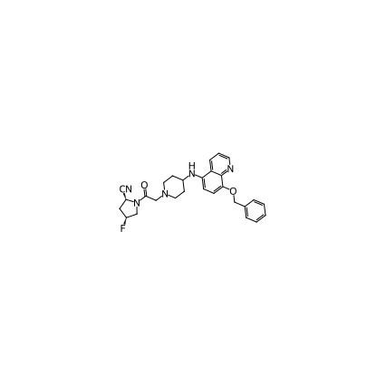 N#C[C@@H]1C[C@H](F)CN1C(=O)CN1CCC(Nc2ccc(OCc3ccccc3)c3ncccc23)CC1